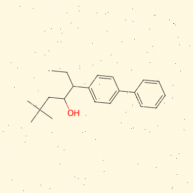 [CH2]CC(c1ccc(-c2ccccc2)cc1)C(O)CC(C)(C)C